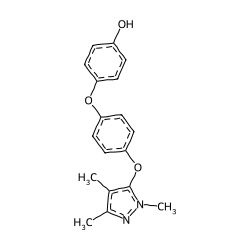 Cc1nn(C)c(Oc2ccc(Oc3ccc(O)cc3)cc2)c1C